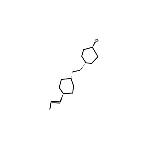 C/C=C/[C@H]1CC[C@H](CC[C@H]2CC[C@H](C#N)CC2)CC1